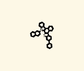 c1ccc(-c2ccc3c(c2)sc2c3c3ccccc3c3c4ccccc4n(-c4ccc5ccccc5c4)c23)cc1